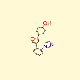 Oc1ccc(-c2cc(-c3ccccc3-n3ccnc3)co2)cc1